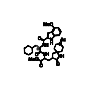 COC(=O)C(CC1CC2(CCN(C(C)=O)CC2)NC1=O)NC(=O)[C@H](CC1CCCCC1)NC(=O)c1cc2c(OC)cccc2[nH]1